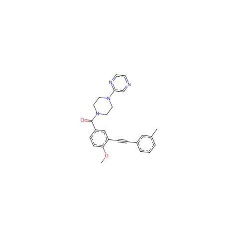 COc1ccc(C(=O)N2CCN(c3cnccn3)CC2)cc1C#Cc1cccc(C)c1